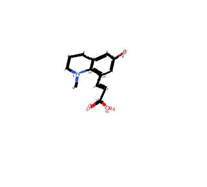 CN1CCCc2cc(Br)cc(/C=C/C(=O)O)c21